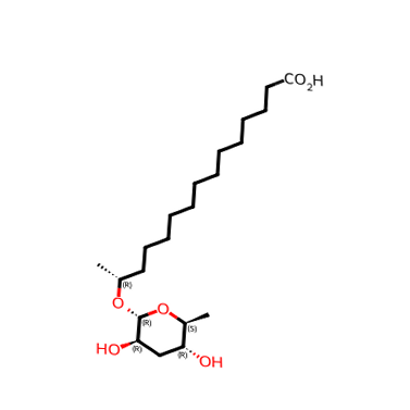 C[C@H](CCCCCCCCCCCCC(=O)O)O[C@@H]1O[C@@H](C)[C@H](O)C[C@H]1O